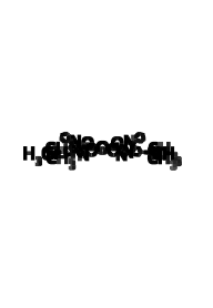 C[Si](C)(C)C#Cc1ccc2c(c1)C(c1ccccc1)=NCc1c(C(=O)OCCOCCOC(=O)c3ncn4c3CN=C(c3ccccc3)c3cc(C#C[Si](C)(C)C)ccc3-4)ncn1-2